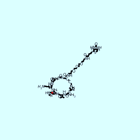 CC(C)C1NC(=O)[C@@H](N)Cc2cn(nn2)CCCC[C@@H](C(=O)NCCCOCCOCCOCCCNC(=O)CCCC[C@H]2SC[C@H]3NC(=O)N[C@H]32)NC(=O)CNC(=O)[C@H](CO)NC(=O)[C@H](CCCCN)NC(=O)[C@H](Cc2c[nH]cn2)NC1=O